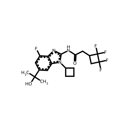 CC(C)(O)c1cc(F)c2nc(NC(=O)CC3CC(F)(F)C3(F)F)n(C3CCC3)c2c1